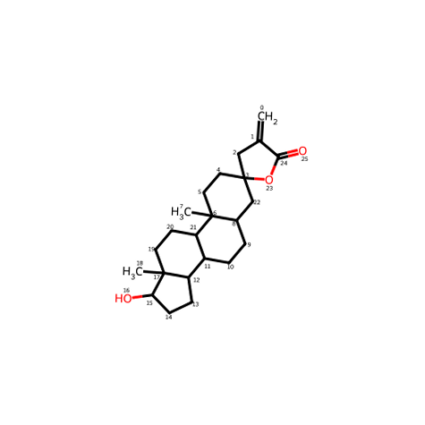 C=C1CC2(CCC3(C)C(CCC4C5CCC(O)C5(C)CCC43)C2)OC1=O